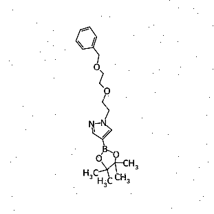 CC1(C)OB(c2cnn(CCOCCOCc3ccccc3)c2)OC1(C)C